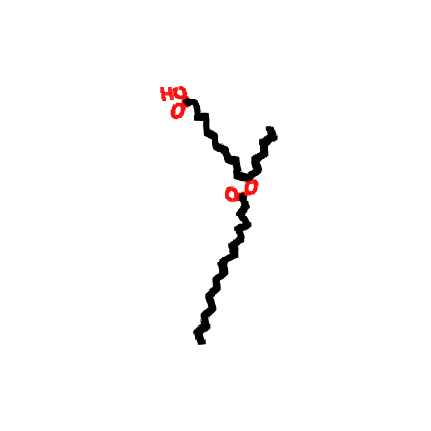 CCCCCCCCC=CCCCCCCCC(=O)OC(CCCCCC)CCCCCCCCCCC(=O)O